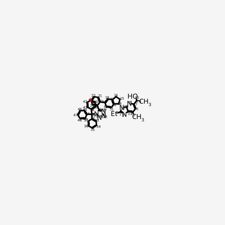 CCc1nc2c(C)cc([C@H](C)O)nc2n1[C@H]1CCc2cc(-c3ccccc3-c3nnnn3C(c3ccccc3)(c3ccccc3)c3ccccc3)ccc21